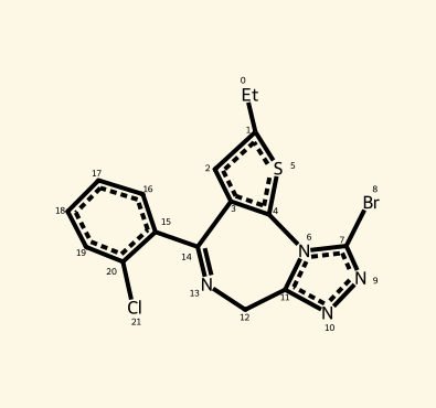 CCc1cc2c(s1)-n1c(Br)nnc1CN=C2c1ccccc1Cl